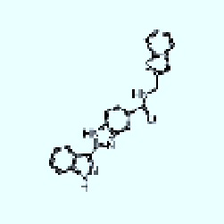 O=C(NCc1cc2ccccc2s1)c1ccc2[nH]c(-c3n[nH]c4ccccc34)nc2c1